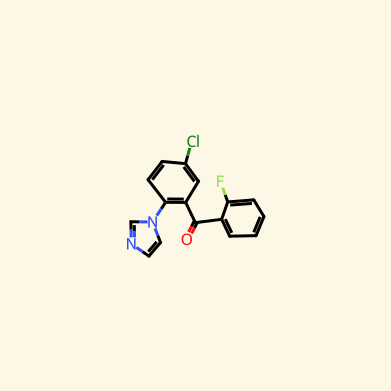 O=C(c1ccccc1F)c1cc(Cl)ccc1-n1ccnc1